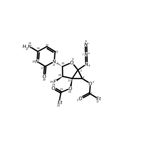 CCC(=O)OC1C2(N=[N+]=[N-])O[C@@H](n3ccc(N)nc3=O)[C@H](F)[C@@]12OC(=O)CC